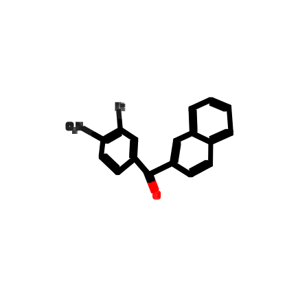 CCc1cc(C(=O)c2ccc3ccccc3c2)ccc1[N+](=O)[O-]